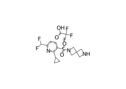 O=C(O)C(F)(F)F.O=S(=O)(c1ccc(C(F)F)nc1C1CC1)N1CC2(CNC2)C1